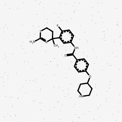 CC1(c2cc(NC(=O)c3ccc(OC4CCNCC4)cc3)ccc2F)CCSC(N)=N1